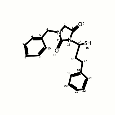 O=C1CN(Cc2ccccc2)C(=O)N1C(S)CCc1ccccc1